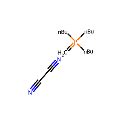 C=P(CCCC)(CCCC)CCCC.N#CC#N